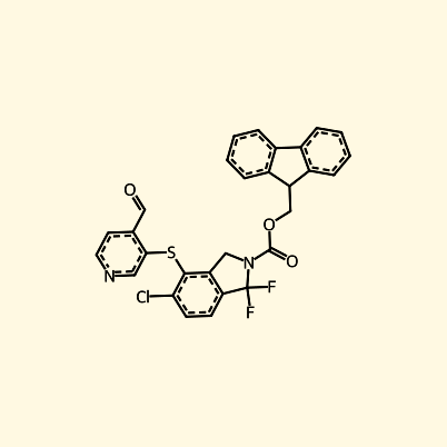 O=Cc1ccncc1Sc1c(Cl)ccc2c1CN(C(=O)OCC1c3ccccc3-c3ccccc31)C2(F)F